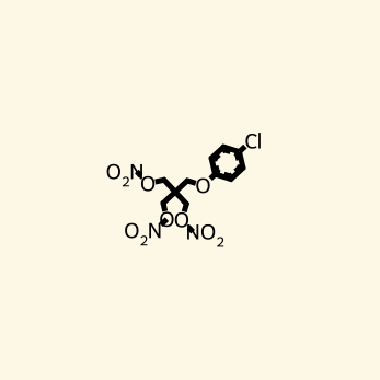 O=[N+]([O-])OCC(COc1ccc(Cl)cc1)(CO[N+](=O)[O-])CO[N+](=O)[O-]